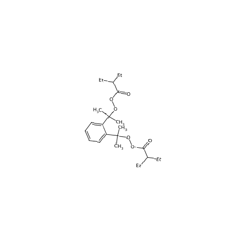 CCC(CC)C(=O)OOC(C)(C)c1ccccc1C(C)(C)OOC(=O)C(CC)CC